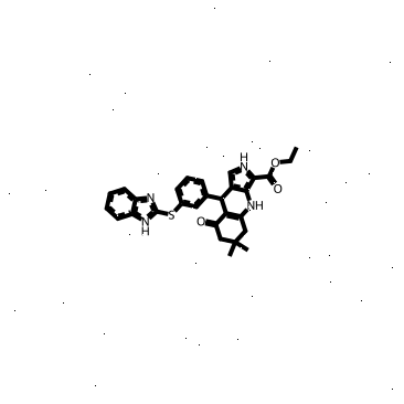 CCOC(=O)c1[nH]cc2c1NC1=C(C(=O)CC(C)(C)C1)C2c1cccc(Sc2nc3ccccc3[nH]2)c1